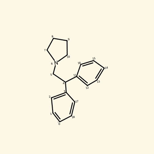 [c]1ccc(C(CN2CCCC2)c2ccccc2)cc1